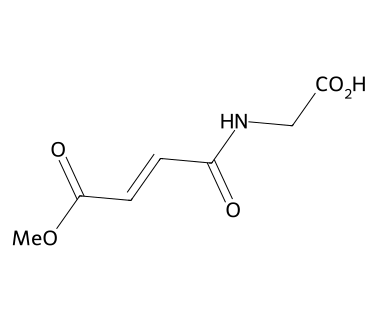 COC(=O)C=CC(=O)NCC(=O)O